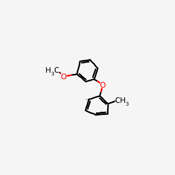 COc1cccc(Oc2[c]cccc2C)c1